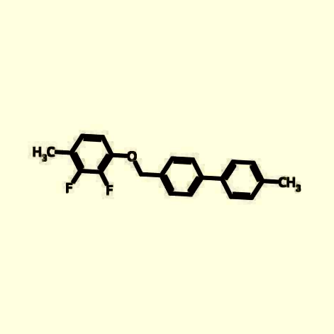 Cc1ccc(-c2ccc(COc3ccc(C)c(F)c3F)cc2)cc1